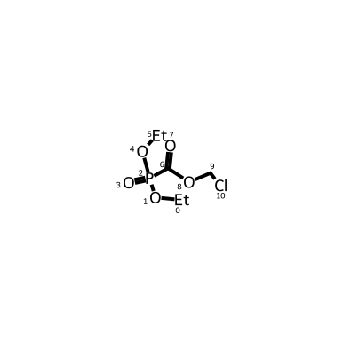 CCOP(=O)(OCC)C(=O)OCCl